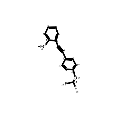 Cc1ccccc1C#Cc1ccc(OC(F)F)cc1